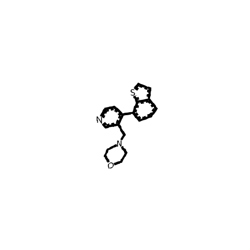 c1cc(-c2ccncc2CN2CCOCC2)c2sccc2c1